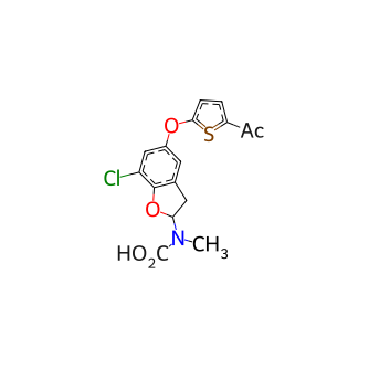 CC(=O)c1ccc(Oc2cc(Cl)c3c(c2)CC(N(C)C(=O)O)O3)s1